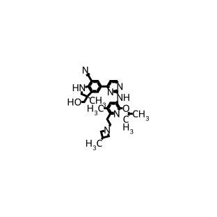 Cc1cc(Nc2nccc(-c3cc(C#N)c4c(c3)[C@@](C)(CO)CN4)n2)c(OC(C)C)nc1CCN1CC(C)C1